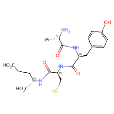 CC(C)[C@H](N)C(=O)N[C@@H](Cc1ccc(O)cc1)C(=O)N[C@@H](CS)C(=O)N[C@@H](CCC(=O)O)C(=O)O